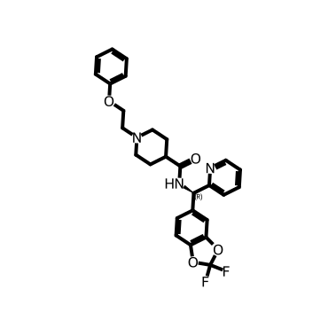 O=C(N[C@H](c1ccc2c(c1)OC(F)(F)O2)c1ccccn1)C1CCN(CCOc2ccccc2)CC1